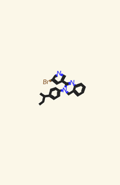 CCC(C)c1ccc(N2Cc3ccccc3N=C2c2cncc(Br)c2)cc1